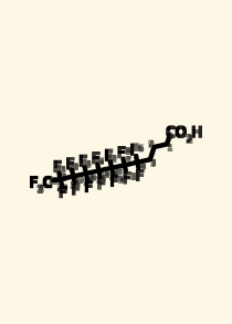 O=C(O)CCCC(F)(F)C(F)(F)C(F)(F)C(F)(F)C(F)(F)C(F)(F)C(F)(F)C(F)(F)F